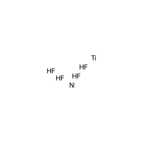 F.F.F.F.[N].[Ti]